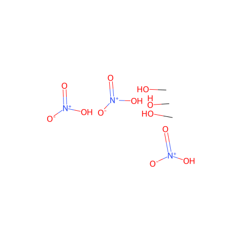 CO.CO.CO.O=[N+]([O-])O.O=[N+]([O-])O.O=[N+]([O-])O